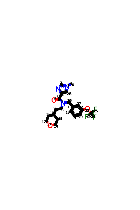 Cn1cnc(C(=O)N(CCC2CCOCC2)Cc2cccc(OC(F)(F)F)c2)c1